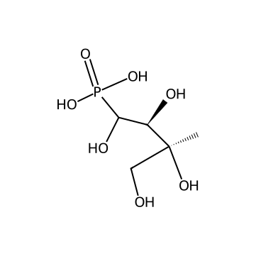 C[C@](O)(CO)[C@H](O)C(O)P(=O)(O)O